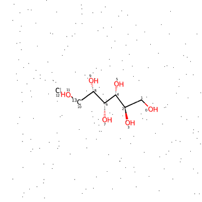 OC[C@@H](O)[C@@H](O)[C@H](O)[C@@H](O)[13CH2]O.[C]